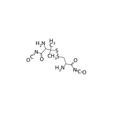 CC(C)(SSCC(N)C(=O)N=C=O)C(N)C(=O)N=C=O